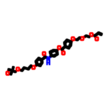 C=CC(=O)OCCOCCOc1ccc(C(=O)Oc2ccc(NC(=O)c3ccc(OCCCCOCC4(C)COC4)cc3)cc2)cc1